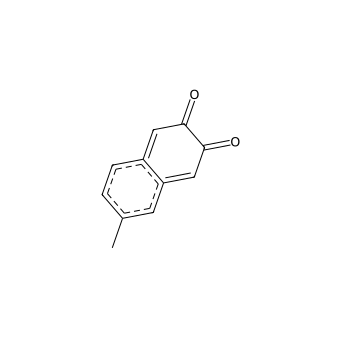 Cc1ccc2c(c1)=CC(=O)C(=O)C=2